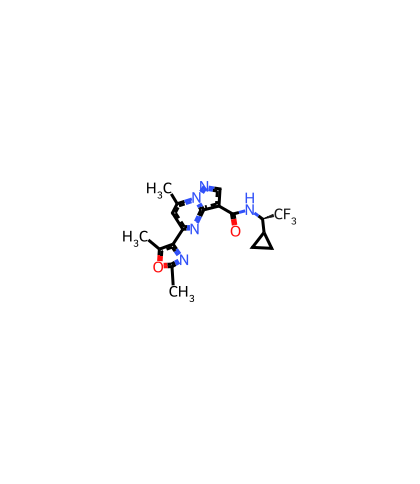 Cc1nc(-c2cc(C)n3ncc(C(=O)N[C@H](C4CC4)C(F)(F)F)c3n2)c(C)o1